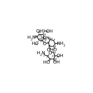 NCC1O[C@H](O[C@@H]2C(N)C[C@@H](N)C(OC3O[C@H](CO)[C@@H](O)C(N)[C@H]3O)C2O)C(O)C(O)[C@@H]1O